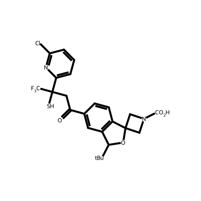 CC(C)(C)C1OC2(CN(C(=O)O)C2)c2ccc(C(=O)CC(S)(c3cccc(Cl)n3)C(F)(F)F)cc21